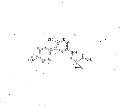 CNC1(CNc2cnc(Cl)c(-c3ccc(N)cc3)c2)CC1